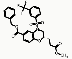 COC(=O)CC[C@H]1CN(S(=O)(=O)c2cccc(C(F)(F)F)c2)c2cc(C(=O)OCc3ccccc3)ccc2O1